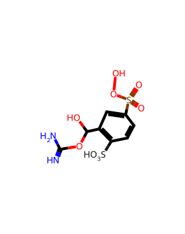 N=C(N)OC(O)c1cc(S(=O)(=O)OO)ccc1S(=O)(=O)O